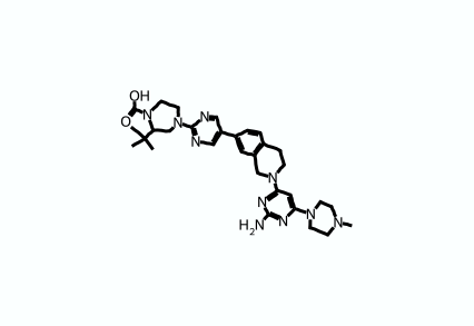 CN1CCN(c2cc(N3CCc4ccc(-c5cnc(N6CCN(C(=O)O)C(C(C)(C)C)C6)nc5)cc4C3)nc(N)n2)CC1